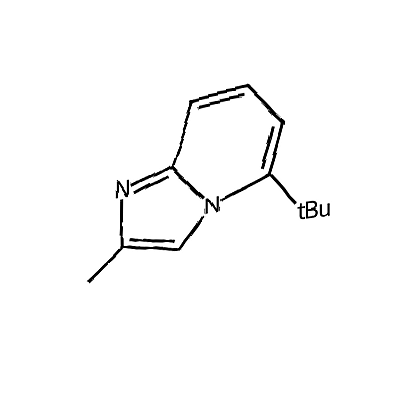 Cc1cn2c(C(C)(C)C)cccc2n1